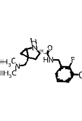 CN(C)CC12CC1N[C@H](C(=O)NCc1cccc(Cl)c1F)C2